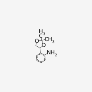 CC1(C)OCC(c2ccccc2N)O1